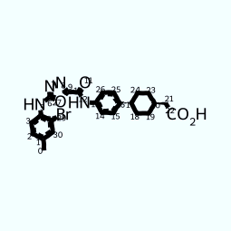 Cc1ccc(Nc2nnc(C(=O)Nc3ccc([C@H]4CC[C@H](CC(=O)O)CC4)cc3)o2)c(Br)c1